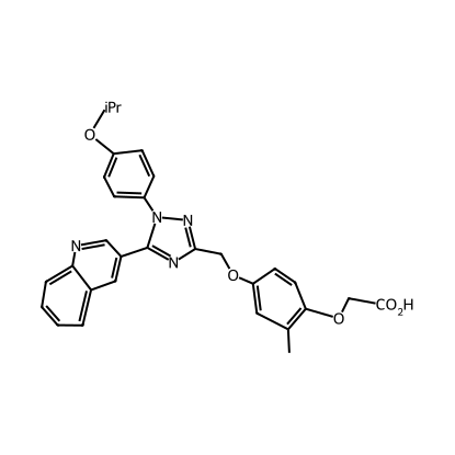 Cc1cc(OCc2nc(-c3cnc4ccccc4c3)n(-c3ccc(OC(C)C)cc3)n2)ccc1OCC(=O)O